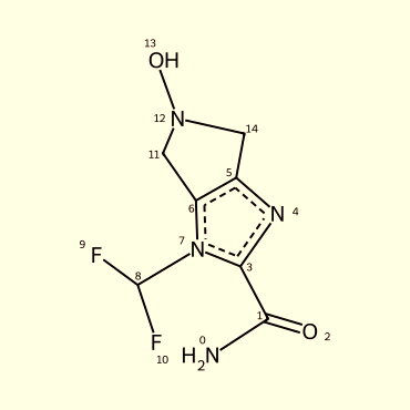 NC(=O)c1nc2c(n1C(F)F)CN(O)C2